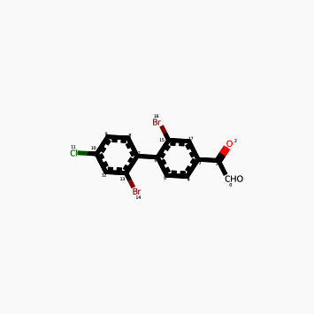 O=CC(=O)c1ccc(-c2ccc(Cl)cc2Br)c(Br)c1